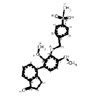 COc1ccc(-c2cccc3c2CCC3=O)c(OC)c1OCc1ccc(S(C)(=O)=O)cc1